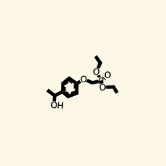 CCOP(=O)(COc1ccc(C(C)O)cc1)OCC